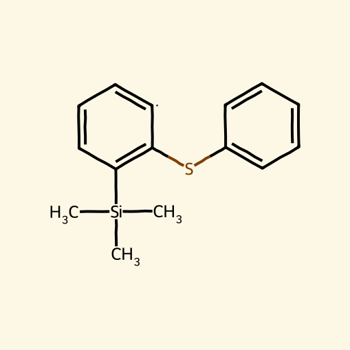 C[Si](C)(C)c1ccc[c]c1Sc1ccccc1